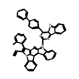 C=Cc1c(-c2ccccc2C)c2cc3c(c4ccccc4n3-c3nc(-c4ccc(-c5ccccc5)cc4)c4oc5ccccc5c4n3)c3c4ccccc4n1c23